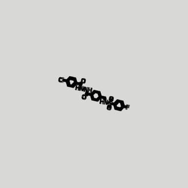 O=C(NNC(=O)C1CCC(CNS(=O)(=O)c2ccc(F)cc2)CC1)c1ccc(Cl)cc1